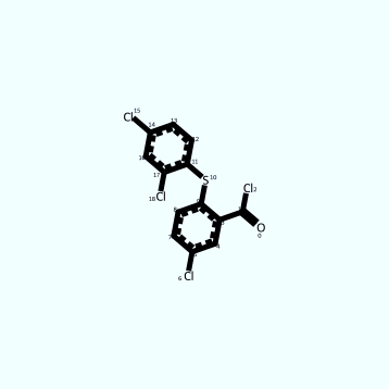 O=C(Cl)c1cc(Cl)ccc1Sc1ccc(Cl)cc1Cl